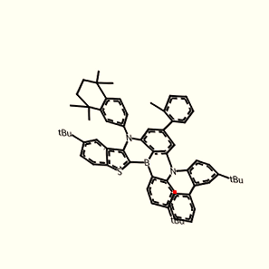 Cc1ccccc1-c1cc2c3c(c1)N(c1ccc4c(c1)C(C)(C)CCC4(C)C)c1c(sc4ccc(C(C)(C)C)cc14)B3c1ccc(C(C)(C)C)cc1N2c1ccc(C(C)(C)C)cc1-c1ccccc1